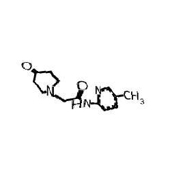 Cc1ccc(NC(=O)CN2CCC(=O)CC2)nc1